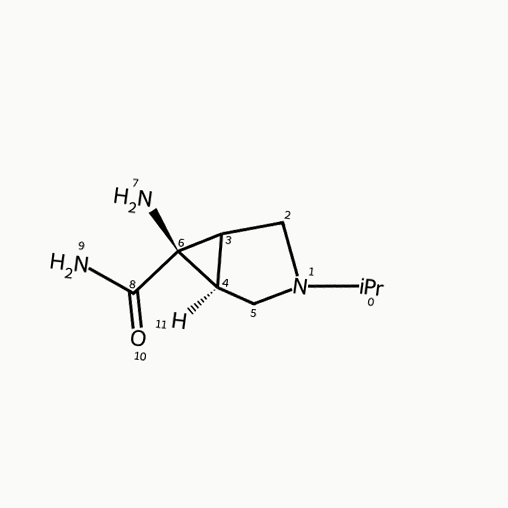 CC(C)N1CC2[C@@H](C1)[C@]2(N)C(N)=O